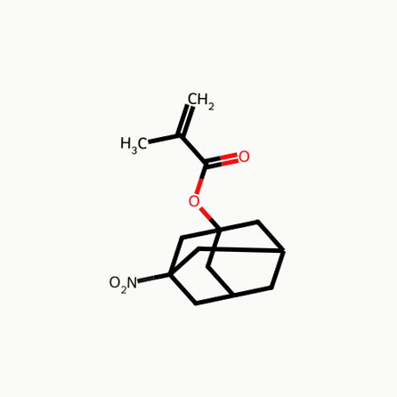 C=C(C)C(=O)OC12CC3CC(C1)CC([N+](=O)[O-])(C3)C2